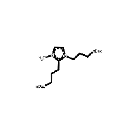 CCCCCCCCCCCCCc1n(CCCCCCCCCCCCC)cc[n+]1C